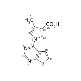 Cc1cn(-c2ncnc3c2C=CC3)cc1C(=O)O